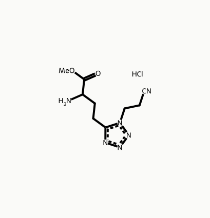 COC(=O)C(N)CCc1nnnn1CCC#N.Cl